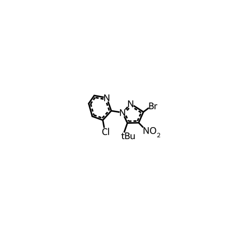 CC(C)(C)c1c([N+](=O)[O-])c(Br)nn1-c1ncccc1Cl